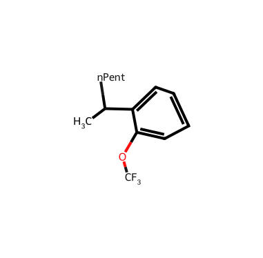 CCCCCC(C)c1ccccc1OC(F)(F)F